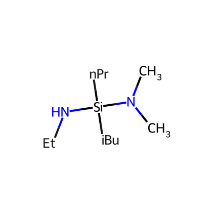 CCC[Si](NCC)(C(C)CC)N(C)C